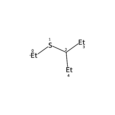 C[CH]SC(CC)CC